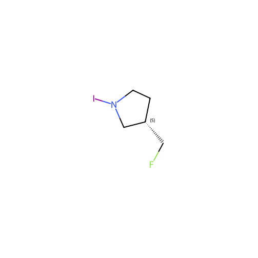 FC[C@H]1CCN(I)C1